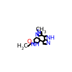 C=CC(=O)NC1CCC=C(c2ccnc3[nH]cc(-c4cnn(C)c4)c23)C1